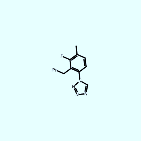 Cc1ccc(-n2cnnn2)c(CC(C)C)c1F